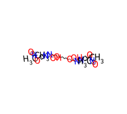 CC(C)(C(=O)c1ccc(N2CCN(CC(O)COCCCCCCOCC(O)CN3CCN(c4ccc(C(=O)C(C)(C)N5CCOCC5)cc4)CC3)CC2)cc1)N1CCOCC1